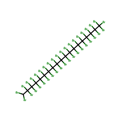 Br[C](Br)C(Br)(Br)C(Br)(Br)C(Br)(Br)C(Br)(Br)C(Br)(Br)C(Br)(Br)C(Br)(Br)C(Br)(Br)C(Br)(Br)C(Br)(Br)C(Br)(Br)C(Br)(Br)C(Br)(Br)C(Br)(Br)C(Br)(Br)C(Br)(Br)C(Br)(Br)C(Br)(Br)Br